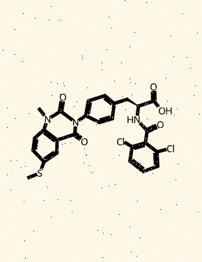 CSc1ccc2c(c1)c(=O)n(-c1ccc(C[C@H](NC(=O)c3c(Cl)cccc3Cl)C(=O)O)cc1)c(=O)n2C